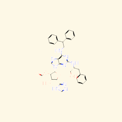 O=CO[C@@H]1[C@H](O)[C@@H](c2nnc[nH]2)O[C@H]1n1cnc2c(NCC(c3ccccc3)c3ccccc3)nc(N[C@H](CO)Cc3ccccc3)nc21